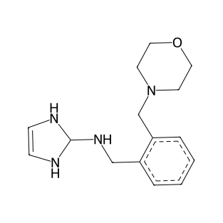 C1=CNC(NCc2ccccc2CN2CCOCC2)N1